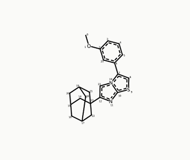 COc1cccc(-c2csc3nc(C45CC6CC(CC(C6)C4)C5)cn23)c1